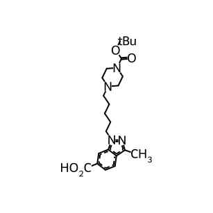 Cc1nn(CCCCCN2CCN(C(=O)OC(C)(C)C)CC2)c2cc(C(=O)O)ccc12